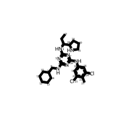 CCC(Nc1nc(NCC2CCCCC2)nc(Nc2cc(Cl)c(C)c(Cl)c2)n1)C1CCCN1